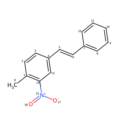 Cc1ccc(/C=C/c2ccccc2)cc1[N+](=O)[O-]